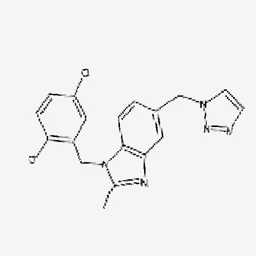 Cc1nc2cc(Cn3ccnn3)ccc2n1Cc1cc(Cl)ccc1Cl